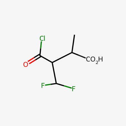 CC(C(=O)O)C(C(=O)Cl)C(F)F